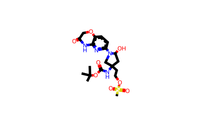 CC(C)(C)OC(=O)NC1(CCOS(C)(=O)=O)CC(O)N(c2ccc3c(n2)NC(=O)CO3)C1